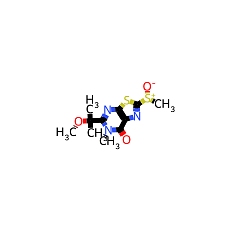 COC(C)(C)c1nc2sc([S+](C)[O-])nc2c(=O)n1C